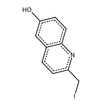 Oc1ccc2nc(CI)ccc2c1